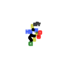 CCCSC1=NS(=O)(=O)c2sc(Cl)cc2N1